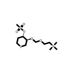 C[Si](C)(C)CCOCO[C@H]1CSCC[C@@H]1OS(C)(=O)=O